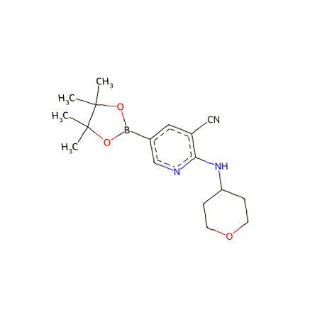 CC1(C)OB(c2cnc(NC3CCOCC3)c(C#N)c2)OC1(C)C